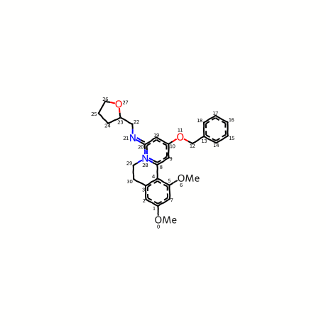 COc1cc2c(c(OC)c1)-c1cc(OCc3ccccc3)cc(=NCC3CCCO3)n1CC2